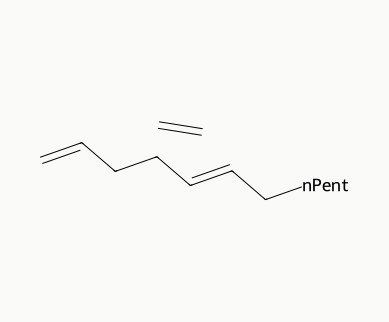 C=C.C=CCCC=CCCCCCC